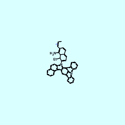 C/C=C\C1=C(N)C2C(=CC=C(n3c4ccc5ccccc5c4c4cc5c6ccccc6n6c7ccccc7c(c43)c56)C2CC)C=C1